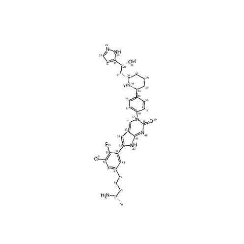 C[C@H](N)CCCc1cc(Cl)c(F)c(-c2cc3cn(-c4ccc([C@@H]5CCC[C@@H](C[C@@H](O)c6ccn[nH]6)N5)cc4)c(=O)nc3[nH]2)c1